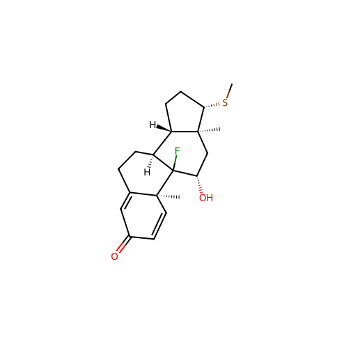 CS[C@H]1CC[C@H]2[C@@H]3CCC4=CC(=O)C=C[C@]4(C)C3(F)[C@@H](O)C[C@]12C